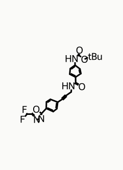 CC(C)(C)OC(=O)Nc1ccc(C(=O)NCC#Cc2ccc(-c3nnc(C(F)F)o3)cc2)cc1